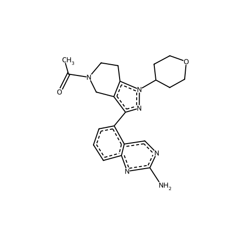 CC(=O)N1CCc2c(c(-c3cccc4nc(N)ncc34)nn2C2CCOCC2)C1